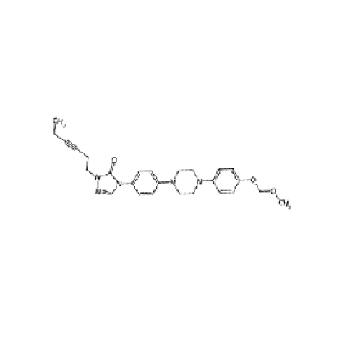 CCC#CCCn1ncn(-c2ccc(N3CCN(c4ccc(OCOC)cc4)CC3)cc2)c1=O